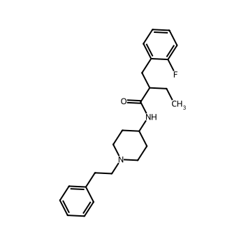 CCC(Cc1ccccc1F)C(=O)NC1CCN(CCc2ccccc2)CC1